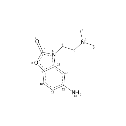 CN(C)CCn1c(=O)oc2ccc(N)cc21